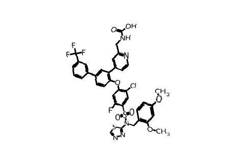 COc1ccc(CN(c2nncs2)S(=O)(=O)c2cc(Cl)c(Oc3ccc(-c4cccc(C(F)(F)F)c4)cc3-c3ccnc(CNC(=O)O)c3)cc2F)c(OC)c1